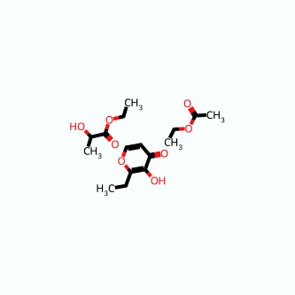 CCOC(=O)C(C)O.CCOC(C)=O.CCc1occc(=O)c1O